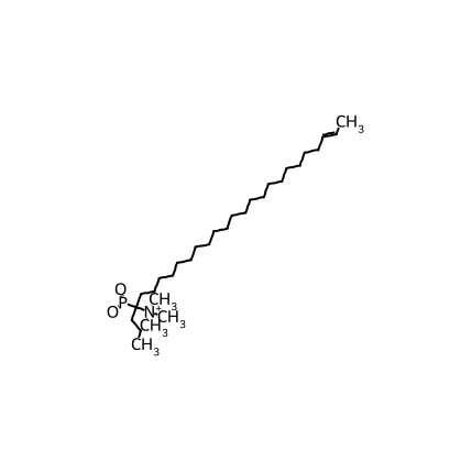 CC=CCCCCCCCCCCCCCCCCCCCCC(CCC)(P(=O)=O)[N+](C)(C)C